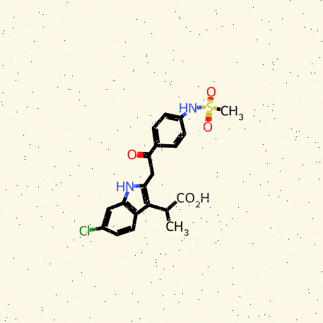 CC(C(=O)O)c1c(CC(=O)c2ccc(NS(C)(=O)=O)cc2)[nH]c2cc(Cl)ccc12